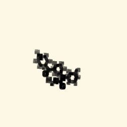 Cc1cccc(N(C(N)=O)c2cccc(C(=O)C3CCN(C)CC3)c2)c1